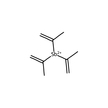 C=[C](C)[Sb+2]([C](=C)C)[C](=C)C